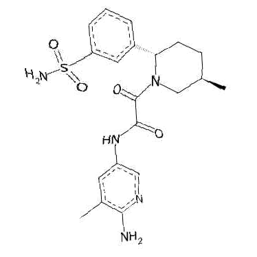 Cc1cc(NC(=O)C(=O)N2C[C@H](C)CC[C@H]2c2cccc(S(N)(=O)=O)c2)cnc1N